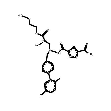 COCCOC(=O)[C@H](O)CN(Cc1ccc(-c2cc(Cl)ccc2F)cc1)NC(=O)c1cc(C(C)=O)n[nH]1